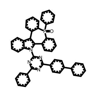 O=P1(c2ccccc2)c2ccccc2-c2c(n(-c3nc(-c4ccccc4)nc(-c4ccc(-c5ccccc5)cc4)n3)c3ccccc23)-c2ccccc21